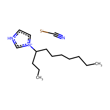 CCCCCCCC(CCC)[n+]1cc[nH]c1.N#C[S-]